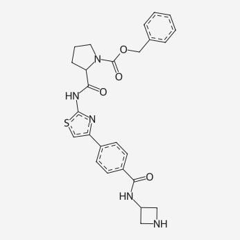 O=C(NC1CNC1)c1ccc(-c2csc(NC(=O)C3CCCN3C(=O)OCc3ccccc3)n2)cc1